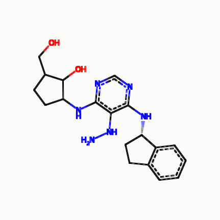 NNc1c(NC2CCC(CO)C2O)ncnc1N[C@H]1CCc2ccccc21